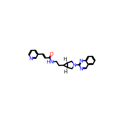 O=C(/C=C/c1cccnc1)NCCC1[C@H]2CN(c3ncc4ccccc4n3)C[C@@H]12